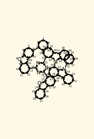 c1ccc(-c2ccc3oc4cccc(-c5nc(-c6cccc7c6oc6ccccc67)nc(-c6cccc7c8ccccc8n(-c8cccc9c%10ccccc%10n(-c%10ccccc%10)c89)c67)n5)c4c3c2)cc1